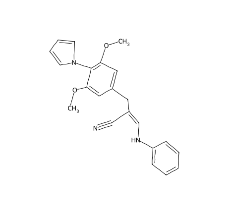 COc1cc(CC(C#N)=CNc2ccccc2)cc(OC)c1-n1cccc1